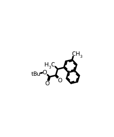 Cc1cc(C(C)C(=O)C(=O)OC(C)(C)C)c2ccccc2c1